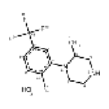 CC1CNCCN1c1cc(C(F)(F)F)ccc1Cl.Cl